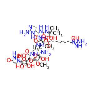 CO[C@H]1[C@H](O[C@H](C(NCCCNC(=O)[C@@H](NC(=O)C(NC(=O)N[C@H](C(=O)O)C(C)C)C2CCN=C(N)N2)[C@@H](OC(=O)CCCCCCCCN(O)C(=N)N)C(C)C)C(=O)O)[C@H]2O[C@@H](n3ccc(=O)[nH]c3=O)[C@H](O)[C@@H]2O)O[C@H](CN)[C@H]1O